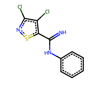 N=C(Nc1ccccc1)c1snc(Cl)c1Cl